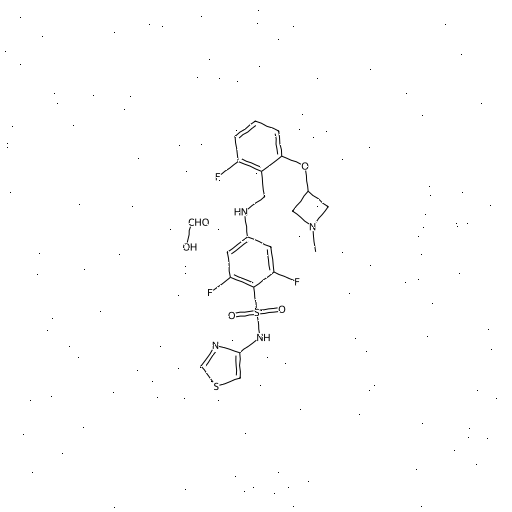 CN1CC(Oc2cccc(F)c2CNc2cc(F)c(S(=O)(=O)Nc3cscn3)c(F)c2)C1.O=CO